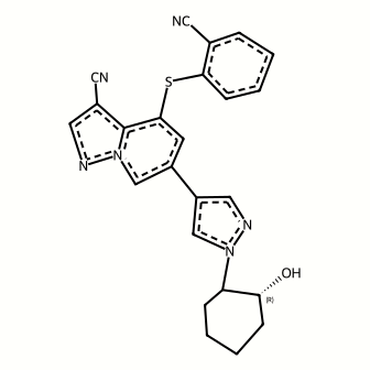 N#Cc1ccccc1Sc1cc(-c2cnn(C3CCCC[C@H]3O)c2)cn2ncc(C#N)c12